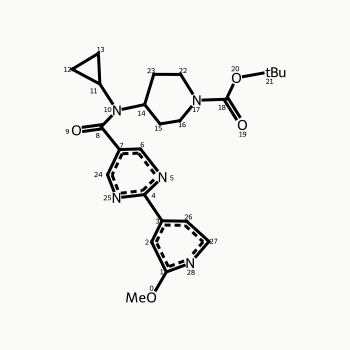 COc1cc(-c2ncc(C(=O)N(C3CC3)C3CCN(C(=O)OC(C)(C)C)CC3)cn2)ccn1